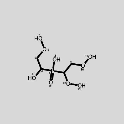 O=P(O)(C(O)COO)C(COO)OO